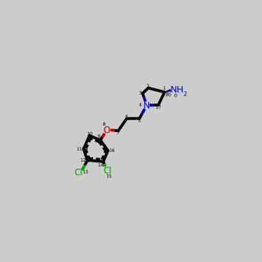 N[C@@H]1CCN(CCCOc2ccc(Cl)c(Cl)c2)C1